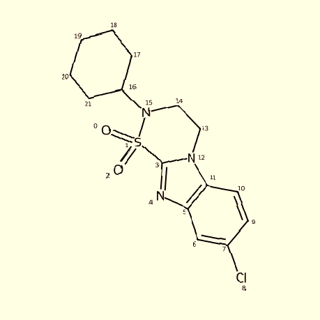 O=S1(=O)c2nc3cc(Cl)ccc3n2CCN1C1CCCCC1